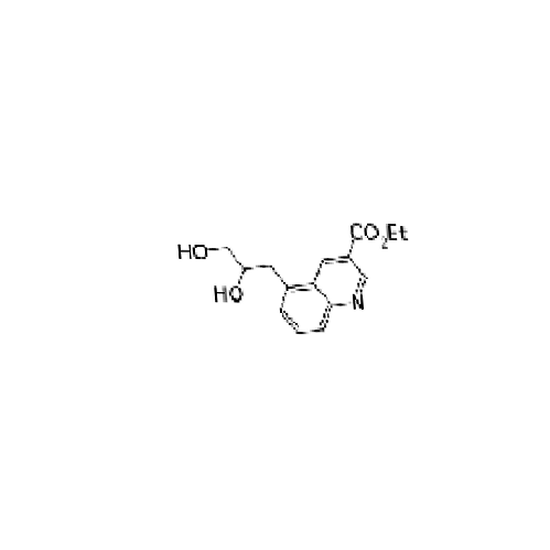 CCOC(=O)c1cnc2cccc(CC(O)CO)c2c1